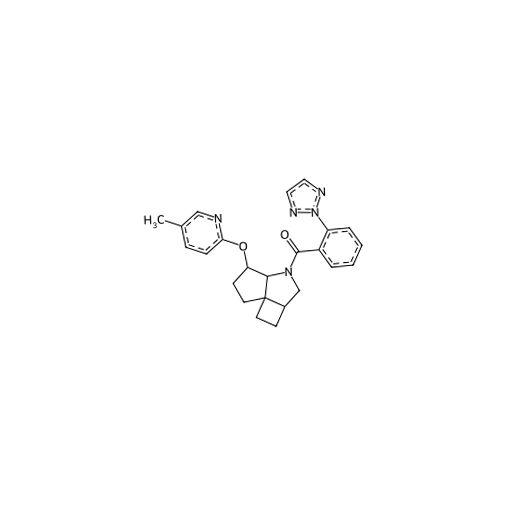 Cc1ccc(OC2CCC34CCC3CN(C(=O)c3ccccc3-n3nccn3)C24)nc1